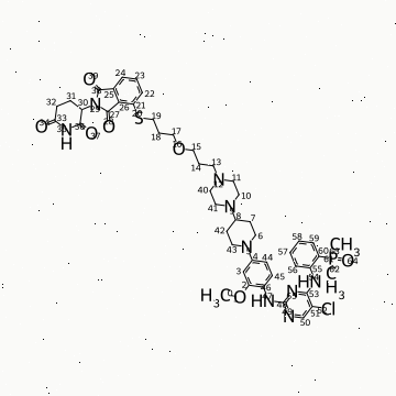 COc1cc(N2CCC(N3CCN(CCCOCCCSc4cccc5c4C(=O)N(C4CCC(=O)NC4=O)C5=O)CC3)CC2)ccc1Nc1ncc(Cl)c(Nc2ccccc2P(C)(C)=O)n1